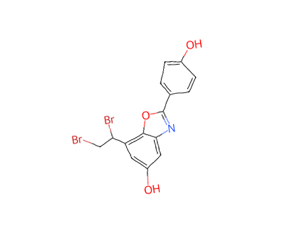 Oc1ccc(-c2nc3cc(O)cc(C(Br)CBr)c3o2)cc1